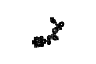 COc1cc(C(=O)N2CCC(CCN3CCCN(c4nc5ccccc5n4CCn4ccnc4)CC3)(c3ccncc3)C2)cc(OC)c1OC